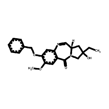 CCC1(O)C[C@H]2C=Nc3cc(OCc4ccccc4)c(OC)cc3C(=O)N2C1